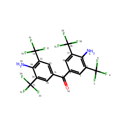 Nc1c(C(F)(F)F)cc(C(=O)c2cc(C(F)(F)F)c(N)c(C(F)(F)F)c2)cc1C(F)(F)F